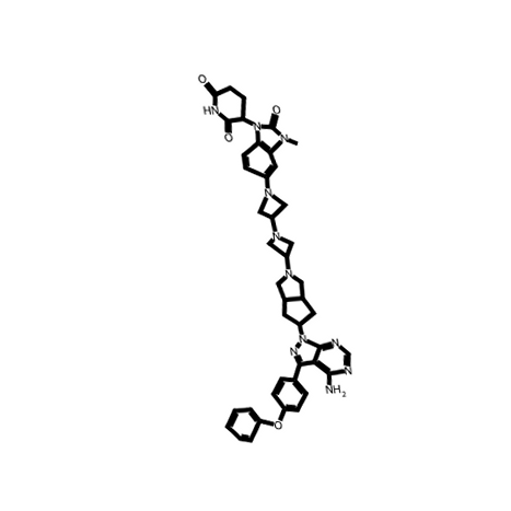 Cn1c(=O)n(C2CCC(=O)NC2=O)c2ccc(N3CC(N4CC(N5CC6CC(n7nc(-c8ccc(Oc9ccccc9)cc8)c8c(N)ncnc87)CC6C5)C4)C3)cc21